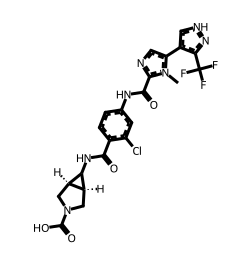 Cn1c(-c2c[nH]nc2C(F)(F)F)cnc1C(=O)Nc1ccc(C(=O)NC2[C@H]3CN(C(=O)O)C[C@@H]23)c(Cl)c1